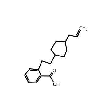 C=CCC1CCC(CCc2ccccc2C(=O)O)CC1